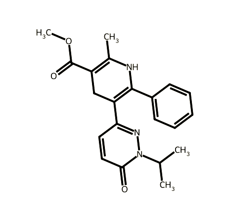 COC(=O)C1=C(C)NC(c2ccccc2)=C(c2ccc(=O)n(C(C)C)n2)C1